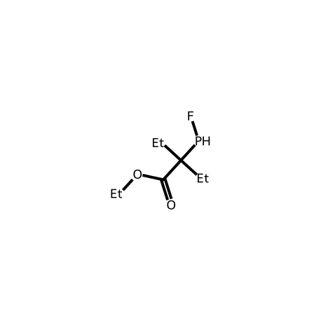 CCOC(=O)C(CC)(CC)PF